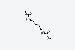 COC(=O)NCCCCCNC(=O)OC